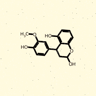 COc1cc(C2CC(O)Oc3cccc(O)c32)ccc1O